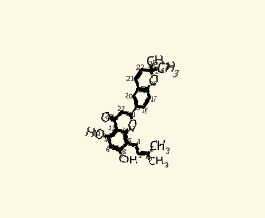 CC(C)=CCc1c(O)cc(O)c2c1O[C@H](c1ccc3c(c1)C=CC(C)(C)O3)CC2=O